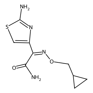 NC(=O)C(=NOCC1CC1)c1csc(N)n1